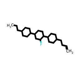 C=CCCC1CCC(C2CCC(C3CCC(CCC)CC3)CC2F)CC1